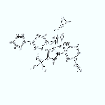 N#Cc1cccc(N2NC(C(F)(F)F)=CC2(C(=O)O)C(NCC2CC2)c2ccc(-c3ccccc3)cc2)c1